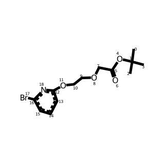 CC(C)(C)OC(=O)COCCOc1cccc(Br)n1